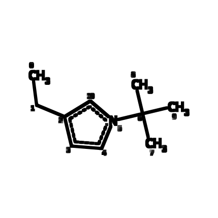 CCc1ccn(C(C)(C)C)c1